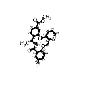 COC(=O)c1ccc([C@H](C)NC(=O)c2cc(Cl)ccc2OCc2ncccc2Cl)cc1